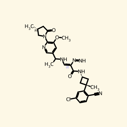 COc1cc(C(C)N/C=C(\N=N)C(=O)N[C@H]2C[C@@](C)(c3cc(Cl)ccc3C#N)C2)cnc1N1C[C@H](C)CC1=O